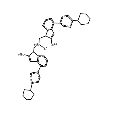 CCCCC1=Cc2c(-c3ccc(C4CCCCC4)cc3)cccc2C1C[SiH]([Zr])CC1C(CCCC)=Cc2c(-c3ccc(C4CCCCC4)cc3)cccc21